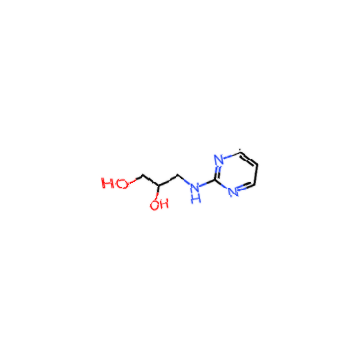 OCC(O)CNc1n[c]ccn1